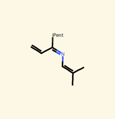 C=C/C(=N\C=C(C)C)C(C)CCC